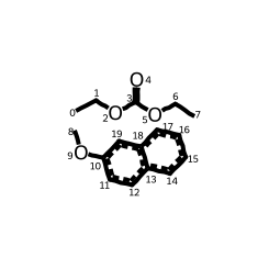 CCOC(=O)OCC.COc1ccc2ccccc2c1